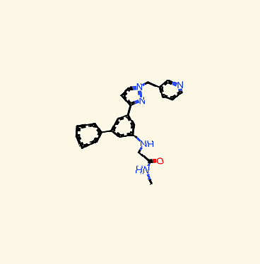 CNC(=O)CNc1cc(-c2ccccc2)cc(-c2ccn(Cc3cccnc3)n2)c1